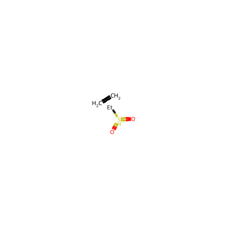 C=C.CC[SH](=O)=O